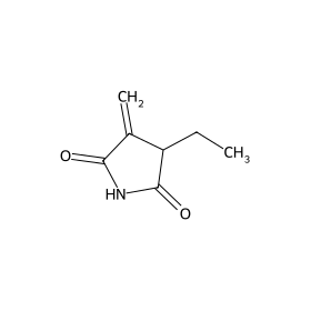 C=C1C(=O)NC(=O)C1CC